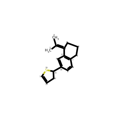 CC(C)=C1CCCc2ccc(C3CC=CS3)cc21